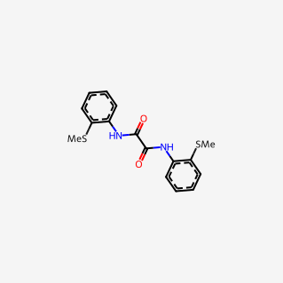 CSc1ccccc1NC(=O)C(=O)Nc1ccccc1SC